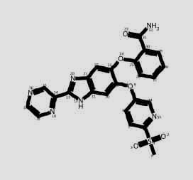 CS(=O)(=O)c1ccc(Oc2cc3[nH]c(-c4cnccn4)nc3cc2Oc2ccccc2C(N)=O)cn1